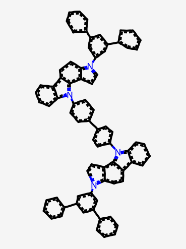 c1ccc(-c2cc(-c3ccccc3)cc(-n3ccc4c3ccc3c5ccccc5n(-c5ccc(-c6ccc(-n7c8ccccc8c8ccc9c(ccn9-c9cc(-c%10ccccc%10)cc(-c%10ccccc%10)c9)c87)cc6)cc5)c34)c2)cc1